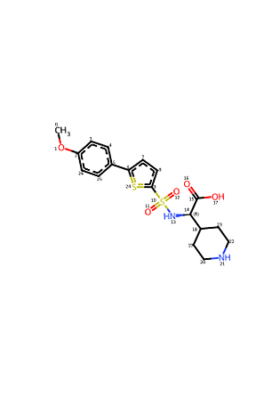 COc1ccc(-c2ccc(S(=O)(=O)N[C@@H](C(=O)O)C3CCNCC3)s2)cc1